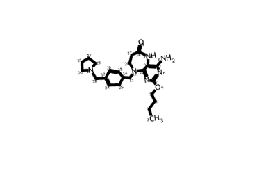 CCCCOc1nc(N)c2c(n1)N(CC1C=CC(CN3CCCC3)=CC1)CCC(=O)N2